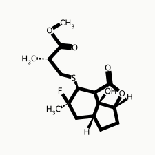 COC(=O)[C@@H](C)CS[C@H]1C2C(=O)O[C@@H]3CC[C@H](C[C@@]1(C)F)[C@]23O